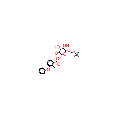 Cc1c(Oc2ccccc2)cccc1C(=O)OC[C@H]1O[C@@H](OCC[Si](C)(C)C)[C@H](O)[C@@H](O)[C@@H]1O